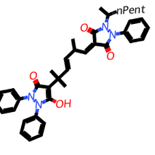 CCCCCC(C)N1C(=O)C(=CC(C)C=CC(C)(C)c2c(O)n(-c3ccccc3)n(-c3ccccc3)c2=O)C(=O)N1c1ccccc1